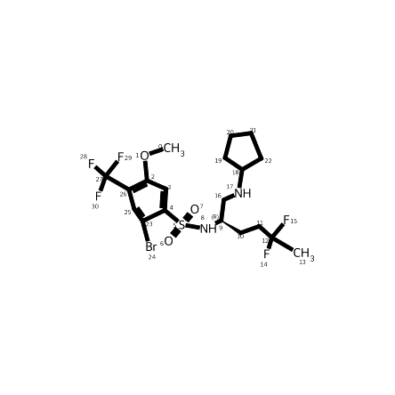 COc1cc(S(=O)(=O)N[C@H](CCC(C)(F)F)CNC2CCCC2)c(Br)cc1C(F)(F)F